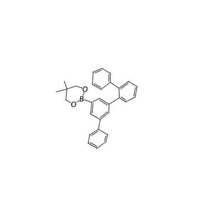 CC1(C)COB(c2cc(-c3ccccc3)cc(-c3ccccc3-c3ccccc3)c2)OC1